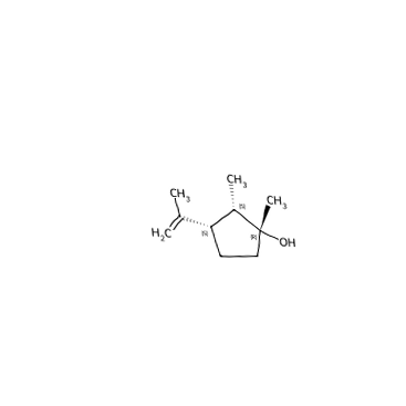 C=C(C)[C@H]1CC[C@@](C)(O)[C@H]1C